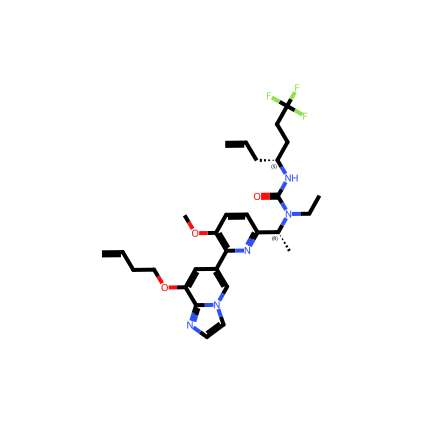 C=CCCOc1cc(-c2nc([C@@H](C)N(CC)C(=O)N[C@H](CC=C)CCC(F)(F)F)ccc2OC)cn2ccnc12